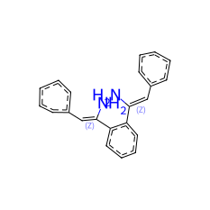 N/C(=C\c1ccccc1)c1ccccc1/C(N)=C/c1ccccc1